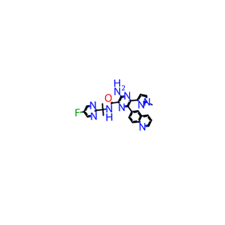 Cn1ccc(-c2nc(N)c(C(=O)NC(C)(C)c3ncc(F)cn3)nc2-c2ccc3ncccc3c2)n1